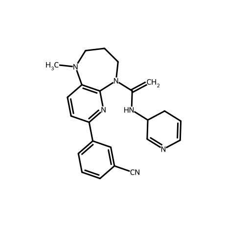 C=C(NC1C=NC=CC1)N1CCCN(C)c2ccc(-c3cccc(C#N)c3)nc21